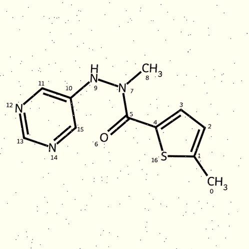 Cc1ccc(C(=O)N(C)Nc2cncnc2)s1